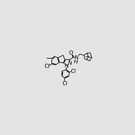 Cc1cc2c(cc1Cl)-c1c(c(C(=O)NCC3CCC4CC3C4(C)C)nn1-c1ccc(Cl)cc1Cl)C2